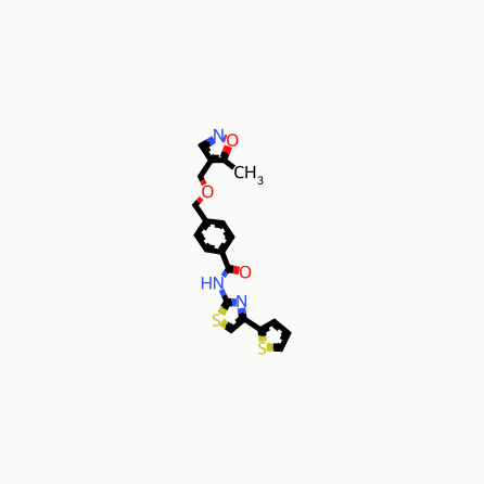 Cc1oncc1COCc1ccc(C(=O)Nc2nc(-c3cccs3)cs2)cc1